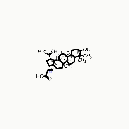 C=C(C)[C@@H]1CC[C@]2(/C=C/C(=O)O)CC[C@]3(C)C(CCC4[C@@]5(C)CC[C@H](O)C(C)(C)C5CC[C@]43C)C12